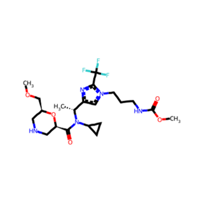 COC[C@@H]1CNC[C@H](C(=O)N(C2CC2)[C@H](C)c2cn(CCCNC(=O)OC)c(C(F)(F)F)n2)O1